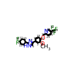 COc1cc(-c2c[nH]c(C3CCC(F)(F)CC3)n2)ccc1OCc1ccc(C(F)(F)F)cn1